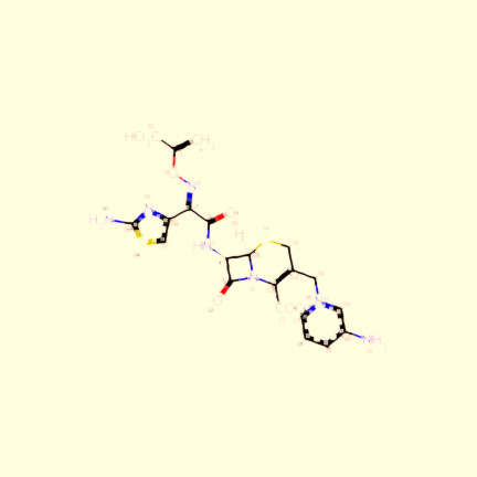 C=C(O/N=C(/C(=O)N[C@@H]1C(=O)N2C(C(=O)[O-])=C(C[n+]3cccc(N)c3)CS[C@H]12)c1csc(N)n1)C(=O)O